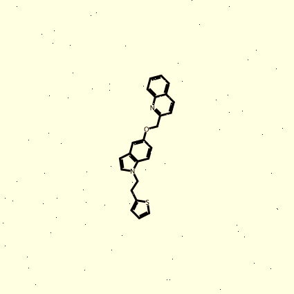 c1csc(CCn2ccc3cc(OCc4ccc5ccccc5n4)ccc32)c1